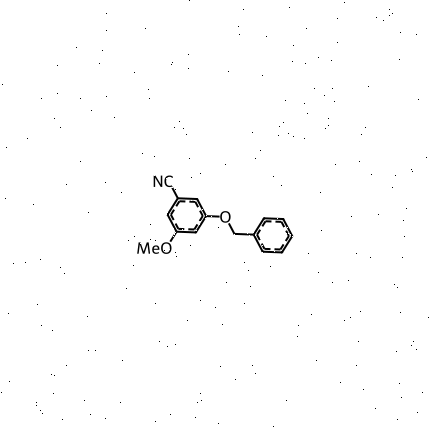 COc1cc(C#N)cc(OCc2ccccc2)c1